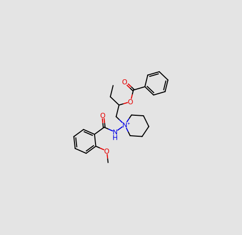 CCC(C[N+]1(NC(=O)c2ccccc2OC)CCCCC1)OC(=O)c1ccccc1